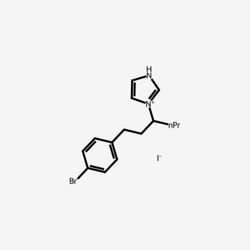 CCCC(CCc1ccc(Br)cc1)[n+]1cc[nH]c1.[I-]